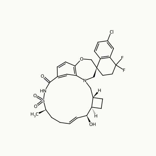 C[C@@H]1CC/C=C/[C@H](O)[C@@H]2CC[C@H]2CN2C[C@@]3(CCC(F)(F)c4cc(Cl)ccc43)COc3ccc(cc32)C(=O)NS1(=O)=O